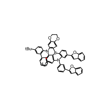 Cc1cc2c3c(c1)N(c1ccc(C(C)(C)C)cc1-c1ccccc1)c1cc4c(cc1B3c1ccc(-c3cc5ccccc5o3)cc1N2c1cccc(-c2cc3ccccc3o2)c1)OCCO4